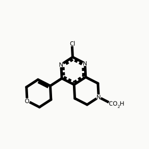 O=C(O)N1CCc2c(nc(Cl)nc2C2=CCOCC2)C1